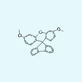 COc1ccc2c(c1)Oc1cc(OC)ccc1C21c2ccccc2-c2ccccc21